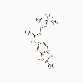 CC(CCCC(C)(C)C)Oc1ccc2c(c1)OC(C)C2